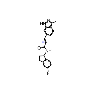 Cc1n[nH]c2cc(/C=C/C(=O)NC3CCc4cc(F)ccc43)ccc12